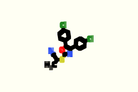 CC(C#N)Sc1nc(-c2ccc(Cl)cc2)c(-c2ccc(Cl)cc2)o1